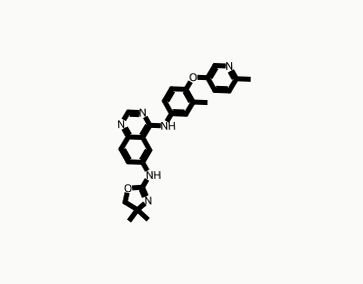 Cc1ccc(Oc2ccc(Nc3ncnc4ccc(NC5=NC(C)(C)CO5)cc34)cc2C)cn1